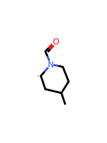 CC1C[CH]N(C=O)CC1